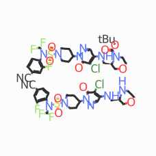 CC(C)(C)OC(=O)N1CCOC[C@H]1CNc1cnn(C2CCN(S(=O)(=O)N(c3ccc(C#N)cc3F)C(F)F)CC2)c(=O)c1Cl.N#Cc1ccc(N(C(F)F)S(=O)(=O)N2CCC(n3ncc(NC[C@@H]4COCCN4)c(Cl)c3=O)CC2)c(F)c1